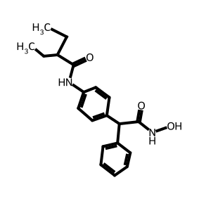 CCC(CC)C(=O)Nc1ccc(C(C(=O)NO)c2ccccc2)cc1